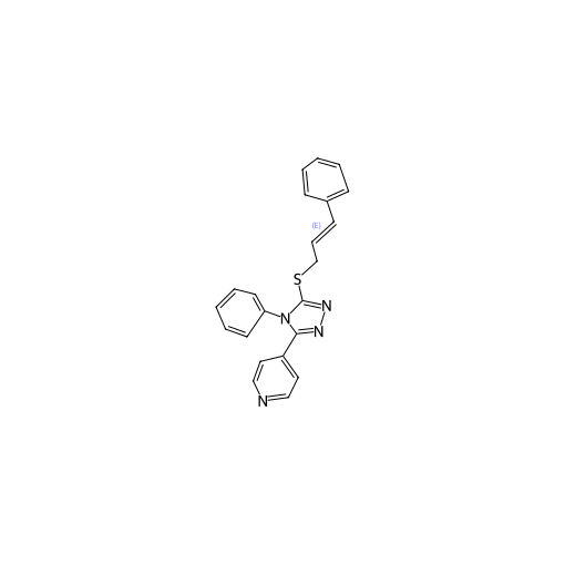 C(=C\c1ccccc1)/CSc1nnc(-c2ccncc2)n1-c1ccccc1